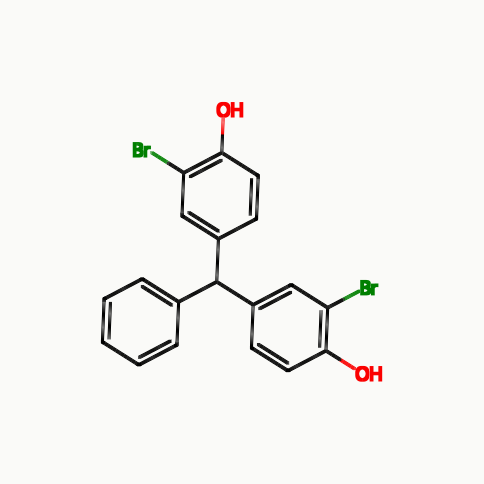 Oc1ccc(C(c2ccccc2)c2ccc(O)c(Br)c2)cc1Br